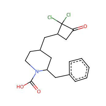 O=C(O)N1CCC(CC2CC(=O)C2(Cl)Cl)CC1Cc1ccccc1